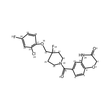 O=C1COc2ccc(C(=O)N3CCC(F)(COc4ccc(F)cc4Cl)CC3)cc2N1